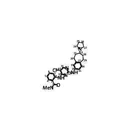 CNC(=O)c1ccccc1Nc1nc(Nc2ccc3c(c2)CCC(N2CCCC2)CC3)ncc1Cl